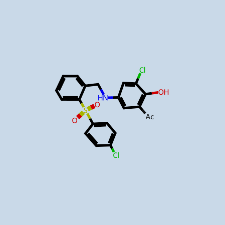 CC(=O)c1cc(NCc2ccccc2S(=O)(=O)c2ccc(Cl)cc2)cc(Cl)c1O